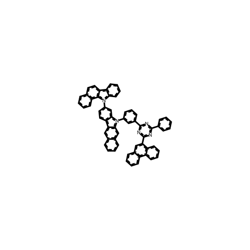 c1ccc(-c2nc(-c3cccc(-n4c5cc(-n6c7ccccc7c7ccc8ccccc8c76)ccc5c5cc6ccccc6cc54)c3)nc(-c3cc4ccccc4c4ccccc34)n2)cc1